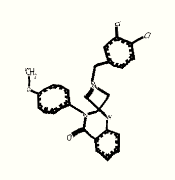 COc1ccc(N2C(=O)c3ccccc3NC23CN(Cc2ccc(Cl)c(Cl)c2)C3)cc1